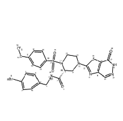 CCCCc1ccc(CNC(=O)[C@H]2CN(c3nc4cn[nH]c(=O)c4s3)CCN2S(=O)(=O)c2ccc(OC(F)(F)F)cc2)cc1